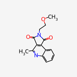 COCCN1C(=O)c2c(C)nc3ccccc3c2C1=O